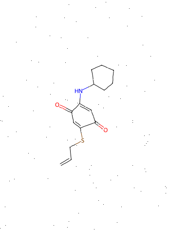 C=CCSC1=CC(=O)C(NC2CCCCC2)=CC1=O